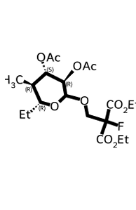 CCOC(=O)C(F)(COC1O[C@H](CC)[C@@H](C)[C@H](OC(C)=O)[C@H]1OC(C)=O)C(=O)OCC